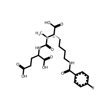 CN(C(=O)NC(CCC(=O)O)C(=O)O)[C@@H](CCCCNC(=O)c1ccc(F)cc1)C(=O)O